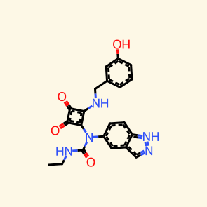 CCNC(=O)N(c1ccc2[nH]ncc2c1)c1c(NCc2cccc(O)c2)c(=O)c1=O